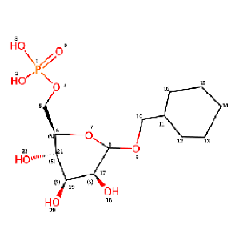 O=P(O)(O)OC[C@H]1OC(OCC2CCCCC2)[C@@H](O)[C@@H](O)[C@@H]1O